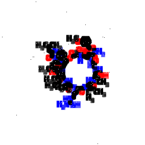 CC[C@H](C)[C@@H]1NC(=O)[C@@H](CCCNC(=N)N)NC(=O)[C@H](C)NC(=O)[C@H]([C@H](O)C(C)CC(C)C)NC(=O)[C@@H](NC(=O)[C@H](CC(C)C)NC(=O)[C@H](N)CC(C)C)[C@@H](c2ccccc2)OC(=O)[C@H](CO)NC(=O)[C@H]([C@H](OC(=O)c2cccc(OC)c2)C(N)=O)NC(=O)CNC(=O)[C@H]([C@H](C)O)NC1=O